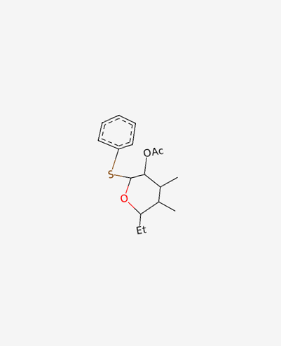 CCC1OC(Sc2ccccc2)C(OC(C)=O)C(C)C1C